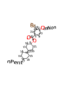 CCCCCCCCCOc1ccc(C(=O)OC2CCC(C3CCC(CCCCC)CC3)CC2)cc1Br